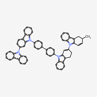 CC1C=Cc2c(c3ccccc3n2C2=Cc3c(c4ccccc4n3-c3ccc(-c4ccc(-n5c6ccccc6c6ccc(-n7c8ccccc8c8ccccc87)cc65)cc4)cc3)CC2)C1